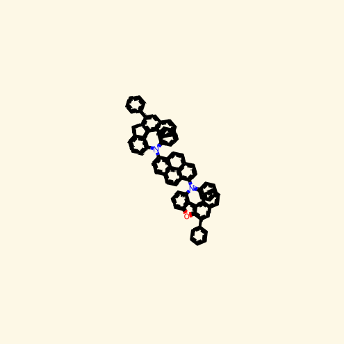 c1ccc(-c2cc3ccccc3c3c2Cc2cccc(N(c4ccccc4)c4ccc5ccc6c(N(c7ccccc7)c7cccc8oc9c(-c%10ccccc%10)cc%10ccccc%10c9c78)ccc7ccc4c5c76)c2-3)cc1